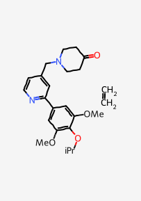 C=C.COc1cc(-c2cc(CN3CCC(=O)CC3)ccn2)cc(OC)c1OC(C)C